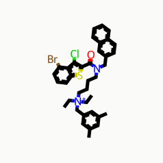 CC[N+](CC)(CCCCN(Cc1ccc2ccccc2c1)C(=O)c1sc2cccc(Br)c2c1Cl)Cc1cc(C)cc(C)c1